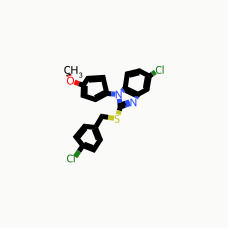 COc1ccc(-n2c(SCc3ccc(Cl)cc3)nc3cc(Cl)ccc32)cc1